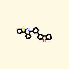 c1cc(-c2ccc3oc4ccccc4c3c2)cc(-c2nc3sc4ccccc4c3c3ccccc23)c1